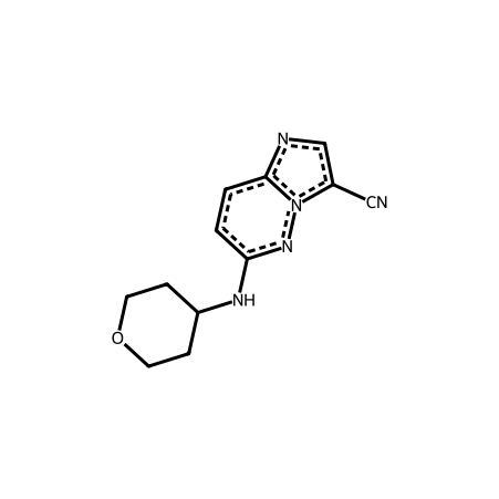 N#Cc1cnc2ccc(NC3CCOCC3)nn12